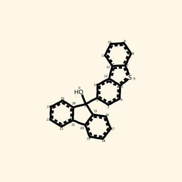 OC1(c2ccc3sc4ccccc4c3c2)c2ccccc2-c2ccccc21